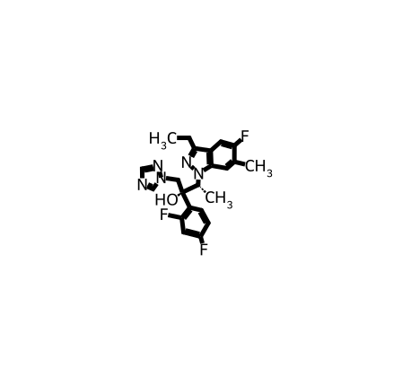 CCc1nn([C@H](C)[C@](O)(Cn2cncn2)c2ccc(F)cc2F)c2cc(C)c(F)cc12